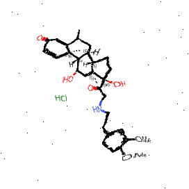 COc1ccc(CCNCC(=O)[C@@]2(O)CC[C@H]3[C@@H]4CC(C)C5=CC(=O)C=C[C@]5(C)[C@H]4C(O)C[C@@]32C)cc1OC.Cl